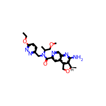 CCOc1ccc(CN(C(=O)c2cc3c4c(c(N)nc3cn2)[C@@H](C)OC4)C(C)COC)nn1